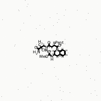 CCCCC[C@@H](CC(=O)NCC(C)(C)C(N)=O)C(=O)N1CC(NC(=O)OC)Cc2ccccc21